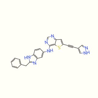 C(#Cc1cc2ncnc(Nc3ccc4[nH]c(Cc5ccccc5)nc4c3)c2s1)c1cn[nH]c1